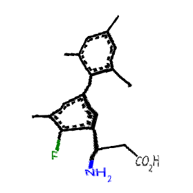 Cc1cc(C)c(-c2cc(C)c(F)c(C(N)CC(=O)O)c2)c(C)c1